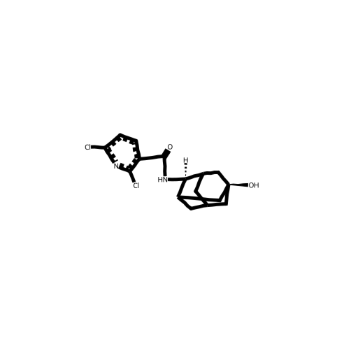 O=C(N[C@H]1C2CC3CC1C[C@@](O)(C3)C2)c1ccc(Cl)nc1Cl